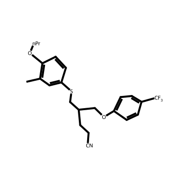 CCCOc1ccc(SCC(CCC#N)COc2ccc(C(F)(F)F)cc2)cc1C